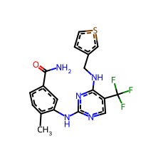 Cc1ccc(C(N)=O)cc1Nc1ncc(C(F)(F)F)c(NCc2ccsc2)n1